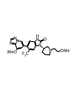 COCCN1CCC[C@@H](n2c(=O)[nH]c3cc(-c4cc(OC)c5ncnn5c4)c(C(F)(F)F)cc32)C1